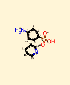 Nc1ccc(S(=O)(=O)O)cc1.c1ccncc1